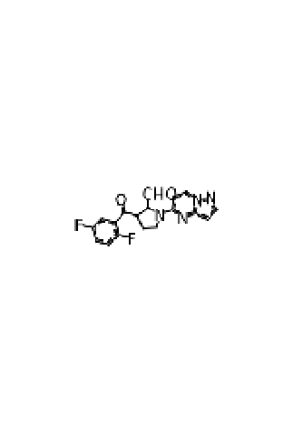 O=CC1C(C(=O)c2cc(F)ccc2F)CCN1c1ccn2nccc2n1